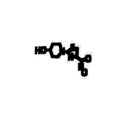 O=NC(=O)c1csc(N2CCC(O)CC2)n1